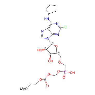 COCCOC(=O)OCOP(=O)(O)COC[C@H]1O[C@@H](n2cnc3c(NC4CCCC4)nc(Cl)nc32)[C@H](O)[C@@H]1O